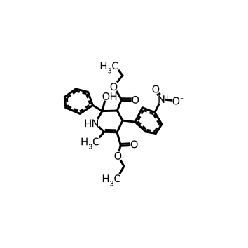 CCOC(=O)C1=C(C)NC(O)(c2ccccc2)C(C(=O)OCC)C1c1cccc([N+](=O)[O-])c1